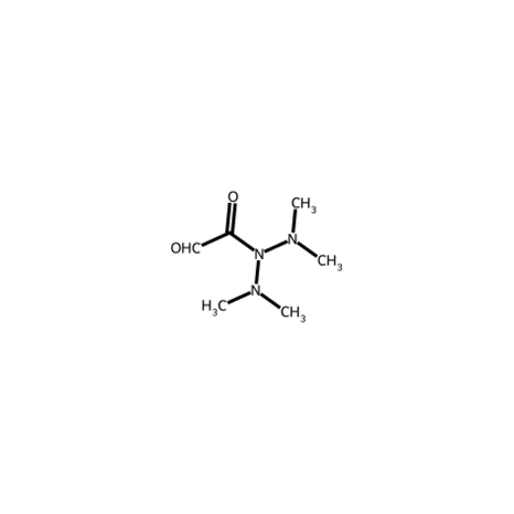 CN(C)N(C(=O)C=O)N(C)C